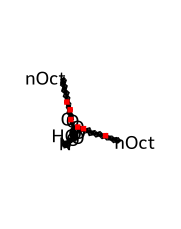 CCCCCCCC/C=C/CCCCCCCCCCCC(=O)OC[C@H](COP(=O)(O)OCC[N+](C)(C)C)OC(=O)CCCCCCCCCCC/C=C/CCCCCCCC